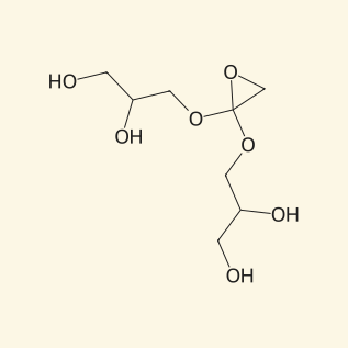 OCC(O)COC1(OCC(O)CO)CO1